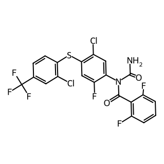 NC(=O)N(C(=O)c1c(F)cccc1F)c1cc(Cl)c(Sc2ccc(C(F)(F)F)cc2Cl)cc1F